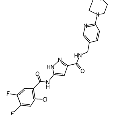 O=C(NCc1ccc(N2CCOCC2)nc1)c1cc(NC(=O)c2cc(F)c(F)cc2Cl)[nH]n1